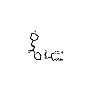 COCC(CC(=O)O)NC(=O)[C@@H]1CCCN(C(=O)/C=C/C2CCNCC2)C1